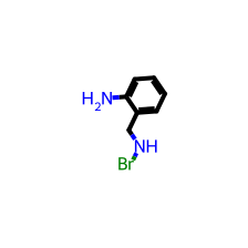 Nc1ccccc1CNBr